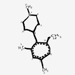 Cc1cc(C)c(C2CCN(C)CC2)c(C)c1